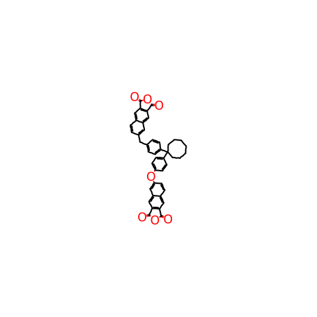 O=C1OC(=O)c2cc3cc(Cc4ccc(C5(c6ccc(Oc7ccc8cc9c(cc8c7)C(=O)OC9=O)cc6)CCCCCCC5)cc4)ccc3cc21